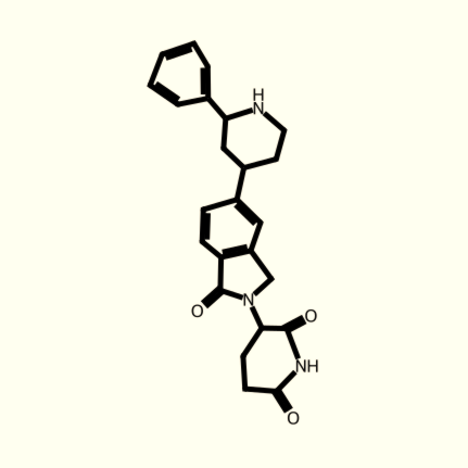 O=C1CCC(N2Cc3cc(C4CCNC(c5ccccc5)C4)ccc3C2=O)C(=O)N1